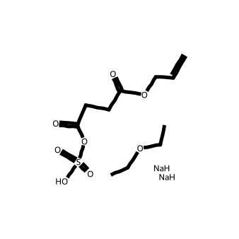 C=CCOC(=O)CCC(=O)OS(=O)(=O)O.CCOCC.[NaH].[NaH]